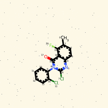 Cc1ccc2nc(Cl)n(-c3ccccc3Cl)c(=O)c2c1F